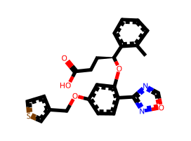 Cc1ccccc1[C@H](CCC(=O)O)Oc1cc(OCc2ccsc2)ccc1-c1ncon1